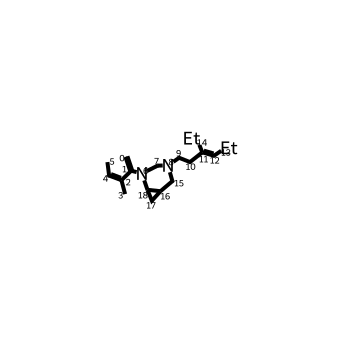 C=C(/C(C)=C\C)N1CN(CC/C(=C/CC)CC)CC2CC21